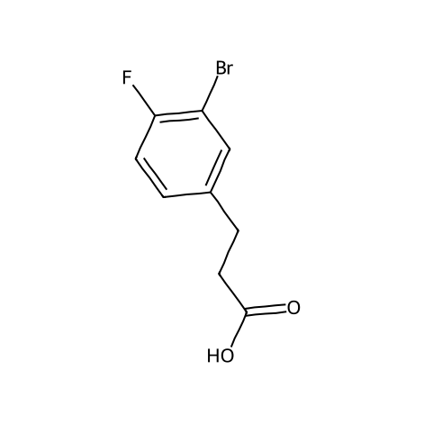 O=C(O)CCc1ccc(F)c(Br)c1